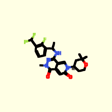 CC(Nc1nn(C)c(=O)c2cc(=O)n([C@@H]3CCOC(C)(C)C3)cc12)c1cccc(C(F)F)c1F